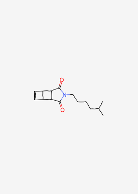 CC(C)CCCCN1C(=O)C2C3C=CC3C2C1=O